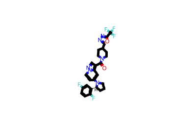 O=C(c1cnn2ccc(N3CCC[C@@H]3c3cc(F)ccc3F)cc12)N1CCC(c2nnc(C(F)(F)F)o2)CC1